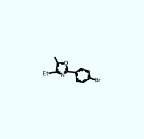 [CH2]Cc1nc(-c2ccc(Br)cc2)oc1C